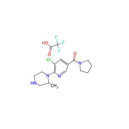 CC1CNCCN1c1ncc(C(=O)N2CCCC2)cc1Cl.O=C(O)C(F)(F)F